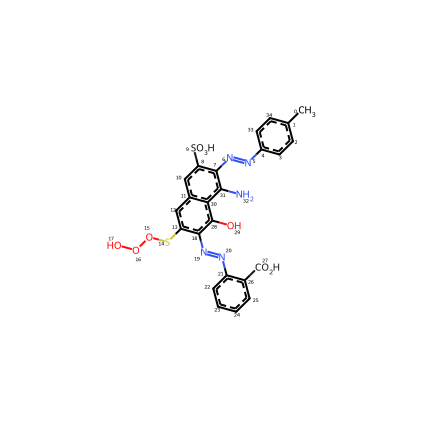 Cc1ccc(N=Nc2c(S(=O)(=O)O)cc3cc(SOOO)c(N=Nc4ccccc4C(=O)O)c(O)c3c2N)cc1